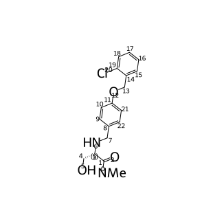 CNC(=O)[C@H](CO)NCc1ccc(OCc2ccccc2Cl)cc1